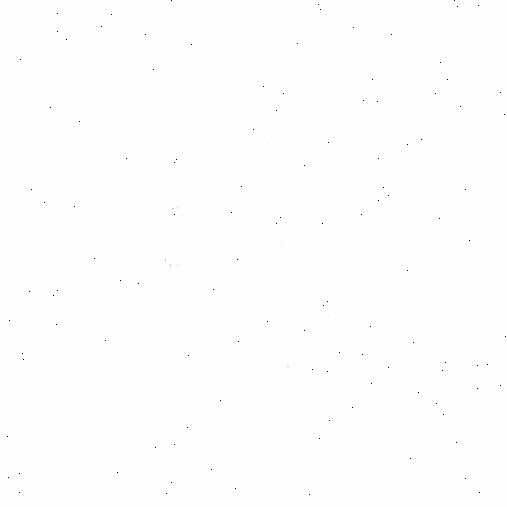 CC(C)(C)c1c(O)cc([CH]([Na])c2cc(OP(=O)(O)O)c(C(C)(C)C)c(C(=O)O)c2C(C)(C)C)c(C(C)(C)C)c1C(=O)O